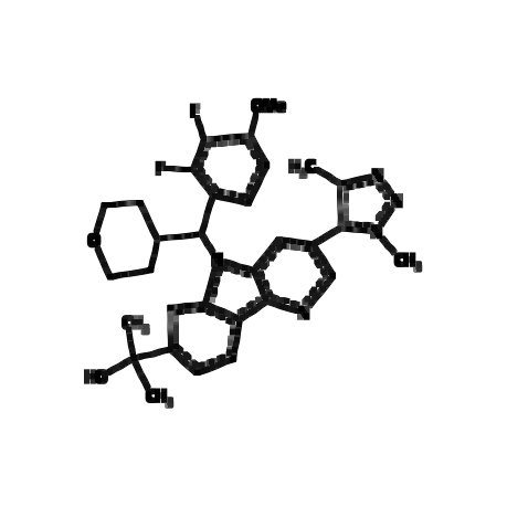 COc1ccc(C(C2CCOCC2)n2c3cc(C(C)(C)O)ccc3c3ncc(-c4c(C)nnn4C)cc32)c(F)c1F